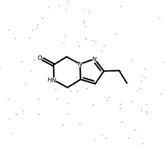 CCc1cc2n(n1)CC(=O)NC2